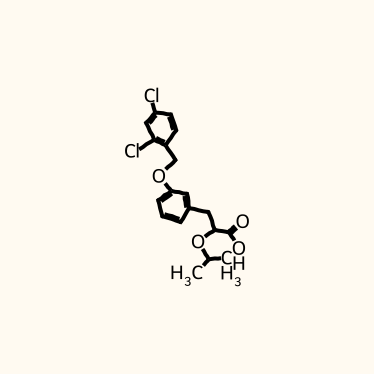 CC(C)OC(Cc1cccc(OCc2ccc(Cl)cc2Cl)c1)C(=O)O